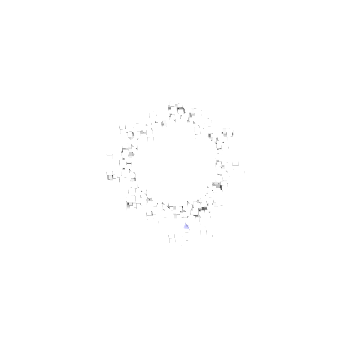 C/C=C/C[C@@H](C)[C@@H](O)[C@H]1C(=O)N[C@@H](CC)C(=O)N(C)CC(=O)N(C)[C@H](CC(C)C)C(=O)N[C@@H](C(C)C)C(=O)N(C)[C@H](CC(C)C)C(=O)N[C@@H](C)C(=O)N[C@H](C)C(=O)N(C)[C@@H](CC(C)C)C(=O)N(C)[C@H](CC(C)C)C(=O)N(C)[C@@H](C(C)C)C(=O)N1C